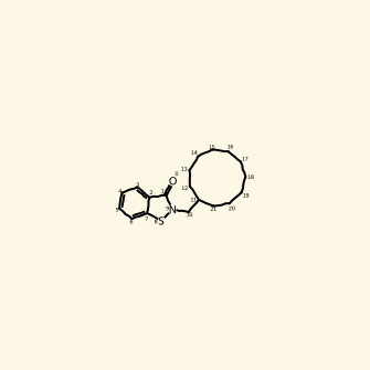 O=c1c2ccccc2sn1CC1CCCCCCCCCC1